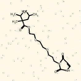 CC(C)CC(C)(C(=O)OCCOCCOCCCn1c(=O)cc[nH]c1=O)C(C)C